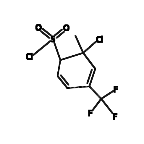 CC1(Cl)C=C(C(F)(F)F)C=CC1S(=O)(=O)Cl